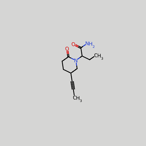 CC#CC1CCC(=O)N(C(CC)C(N)=O)C1